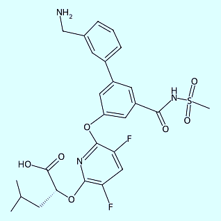 CC(C)C[C@@H](Oc1nc(Oc2cc(C(=O)NS(C)(=O)=O)cc(-c3cccc(CN)c3)c2)c(F)cc1F)C(=O)O